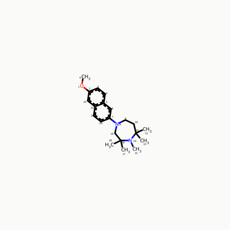 COc1ccc2cc(N3CCC(C)(C)N(C)C(C)(C)C3)ccc2c1